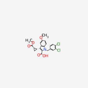 COC(=O)[C@@H]1C[C@H]1c1c(C(=O)O)n(Cc2ccc(Cl)c(Cl)c2)c2ccc(OC)cc12